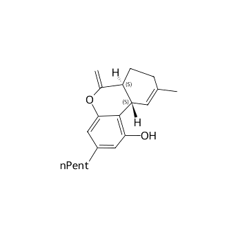 C=C1Oc2cc(CCCCC)cc(O)c2[C@H]2C=C(C)CC[C@H]12